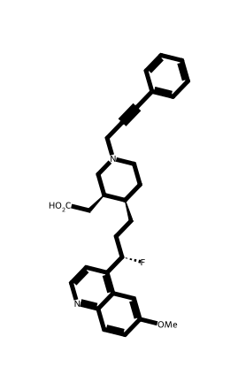 COc1ccc2nccc([C@@H](F)CC[C@@H]3CCN(CC#Cc4ccccc4)C[C@@H]3CC(=O)O)c2c1